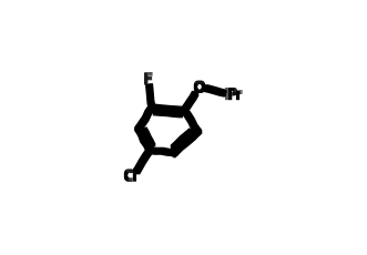 CC(C)Oc1c[c]c(Cl)cc1F